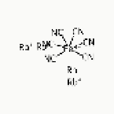 N#[C][Fe-4]([C]#N)([C]#N)([C]#N)([C]#N)[C]#N.[Rb+].[Rb+].[Rb+].[Rb+]